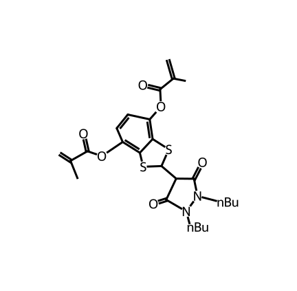 C=C(C)C(=O)Oc1ccc(OC(=O)C(=C)C)c2c1SC(C1C(=O)N(CCCC)N(CCCC)C1=O)S2